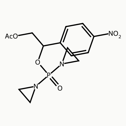 CC(=O)OCC(OP(=O)(N1CC1)N1CC1)c1ccc([N+](=O)[O-])cc1